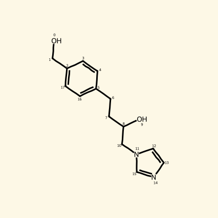 OCc1ccc(CCC(O)Cn2ccnc2)cc1